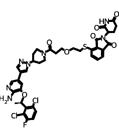 C[C@@H](Oc1cc(-c2cnn(C3CCN(C(=O)CCOCCSc4cccc5c4C(=O)N(C4CCC(=O)NC4=O)C5=O)CC3)c2)cnc1N)c1c(Cl)ccc(F)c1Cl